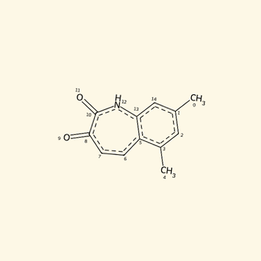 Cc1cc(C)c2ccc(=O)c(=O)[nH]c2c1